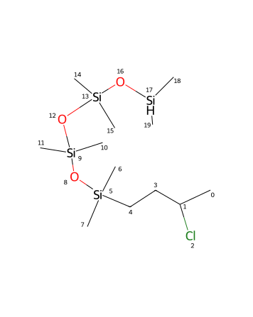 CC(Cl)CC[Si](C)(C)O[Si](C)(C)O[Si](C)(C)O[SiH](C)C